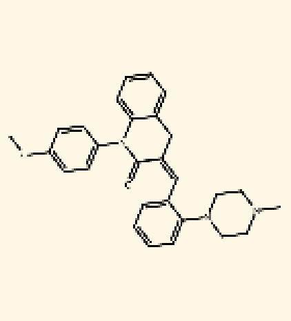 COc1ccc(N2C(=O)C(=Cc3ccccc3N3CCN(C)CC3)Cc3ccccc32)cc1